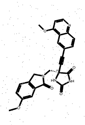 COc1ccc2c(c1)C(=O)N(C[C@@]1(C#Cc3ccc4nccc(OC)c4c3)NC(=O)NC1=O)C2